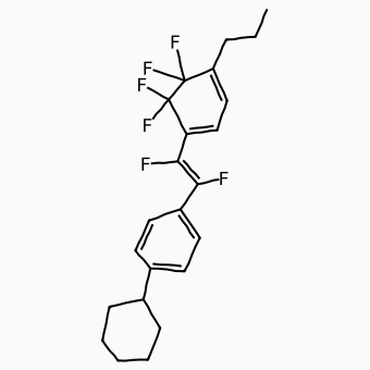 CCCC1=CC=C(/C(F)=C(\F)c2ccc(C3CCCCC3)cc2)C(F)(F)C1(F)F